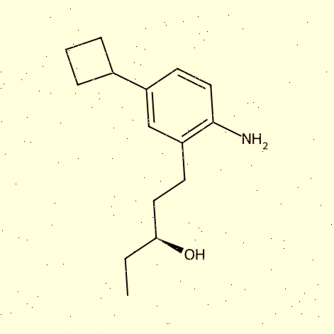 CC[C@H](O)CCc1cc(C2CCC2)ccc1N